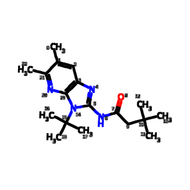 Cc1cc2nc(NC(=O)CC(C)(C)C)n(C(C)(C)C)c2nc1C